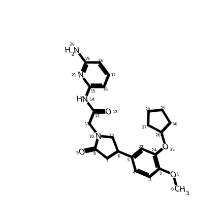 COc1ccc(C2CC(=O)N(CC(=O)Nc3cccc(N)n3)C2)cc1OC1CCCC1